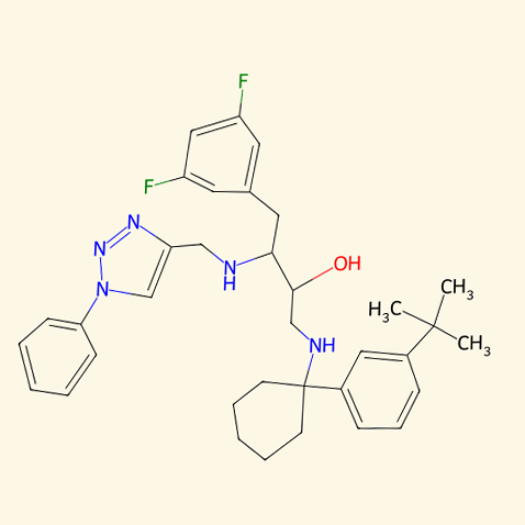 CC(C)(C)c1cccc(C2(NCC(O)C(Cc3cc(F)cc(F)c3)NCc3cn(-c4ccccc4)nn3)CCCCC2)c1